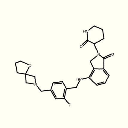 O=C1NCCCC1N1Cc2c(NCc3ccc(CN4CC5(CCCO5)C4)cc3F)cccc2C1=O